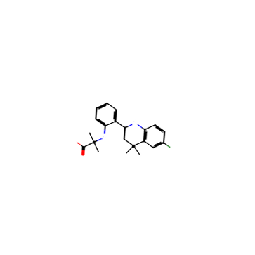 CC(C)(Nc1ccccc1C1CC(C)(C)c2cc(Cl)ccc2N1)C(=O)O